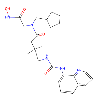 CC(C)(CNC(=O)Nc1cccc2cccnc12)CC(=O)N(CC(=O)NO)CC1CCCC1